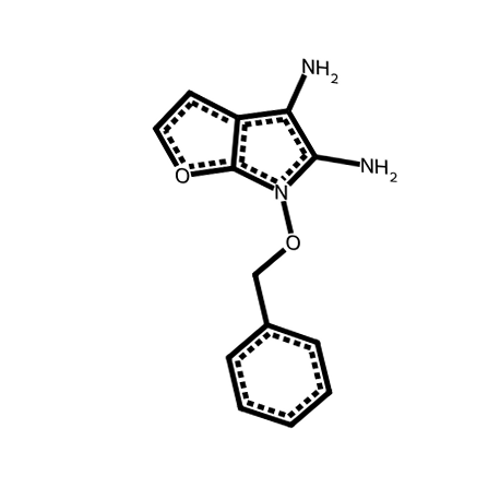 Nc1c(N)n(OCc2ccccc2)c2occc12